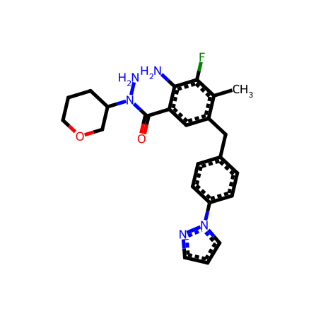 Cc1c(Cc2ccc(-n3cccn3)cc2)cc(C(=O)N(N)C2CCCOC2)c(N)c1F